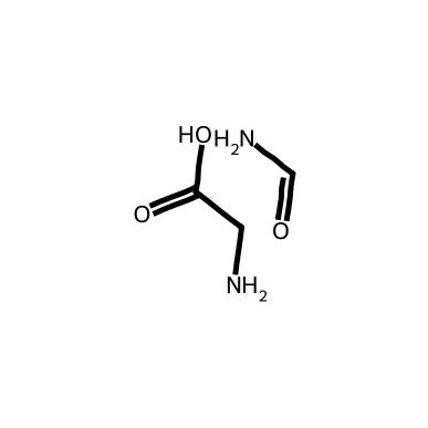 NC=O.NCC(=O)O